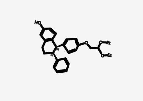 CCOC(COc1ccc([C@@H]2c3ccc(O)cc3CC[C@@H]2c2ccccc2)cc1)OCC